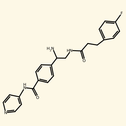 NC(CNC(=O)CCc1ccc(F)cc1)c1ccc(C(=O)Nc2ccncc2)cc1